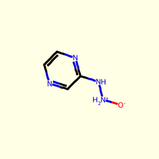 [O-][NH2+]Nc1cnccn1